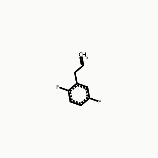 C=CCc1cc(F)ccc1F